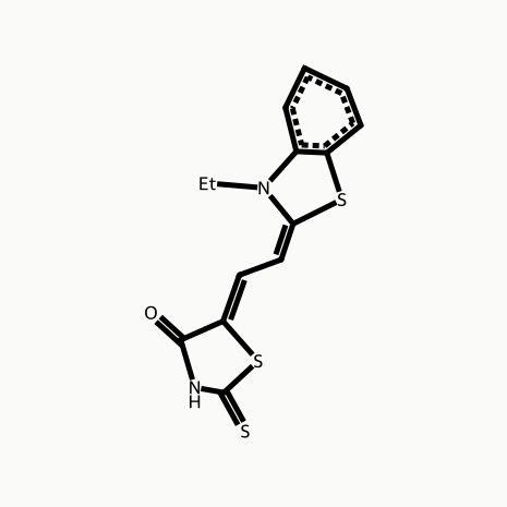 CCN1C(=CC=C2SC(=S)NC2=O)Sc2ccccc21